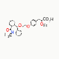 CCOC(Cc1ccc(OCCOC2c3ccccc3C(=O)N(C)c3ccccc32)cc1)C(=O)O